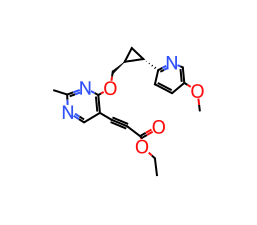 CCOC(=O)C#Cc1cnc(C)nc1OC[C@H]1C[C@@H]1c1ccc(OC)cn1